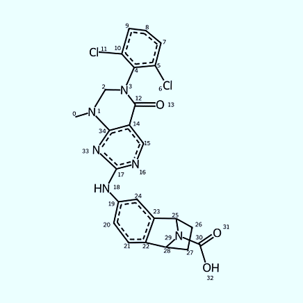 CN1CN(c2c(Cl)cccc2Cl)C(=O)c2cnc(Nc3ccc4c(c3)C3CCC4N3C(=O)O)nc21